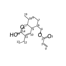 C=CC(=O)OCC(CC)C(C=C(CC)C(=O)O)CCC